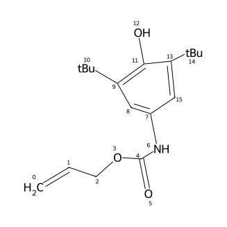 C=CCOC(=O)Nc1cc(C(C)(C)C)c(O)c(C(C)(C)C)c1